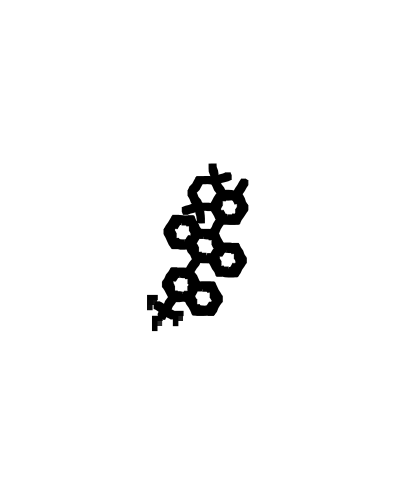 Cc1ccc(-c2c3ccccc3c(-c3ccc(C(F)(F)F)c4ccccc34)c3ccccc23)c2c1C(C)(C)CCC2(C)C